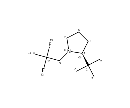 CC(C)(C)[C@@H]1CCCN1CC(F)(F)F